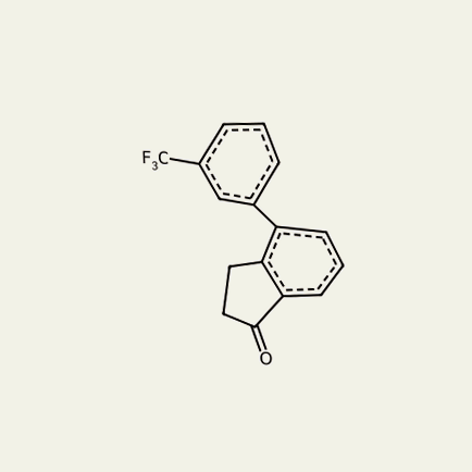 O=C1CCc2c1cccc2-c1cccc(C(F)(F)F)c1